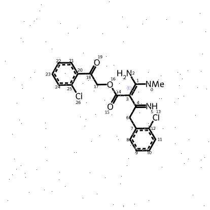 CN/C(N)=C(\C(=N)Cc1ccccc1Cl)C(=O)OCC(=O)c1ccccc1Cl